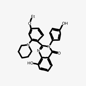 CCOc1ccc(-c2nc3c(O)cccc3c(=O)n2-c2ccc(O)cc2)c(N2CCCCC2)c1